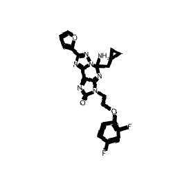 NC1(CC2CC2)N=C2C(=NC(=O)N2CCOc2ccc(F)cc2F)c2nc(-c3ccco3)nn21